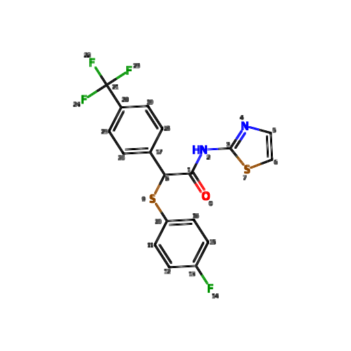 O=C(Nc1nccs1)C(Sc1ccc(F)cc1)c1ccc(C(F)(F)F)cc1